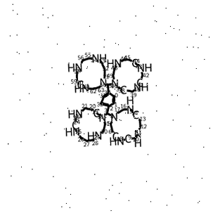 c1cc(C(N2CCCNCCNCCCNCC2)N2CCCNCCNCCCNCC2)ccc1C(N1CCCNCCNCCCNCC1)N1CCCNCCNCCCNCC1